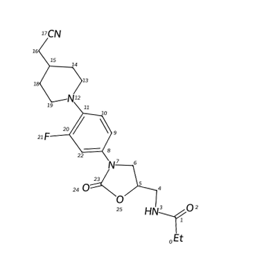 CCC(=O)NCC1CN(c2ccc(N3CCC(CC#N)CC3)c(F)c2)C(=O)O1